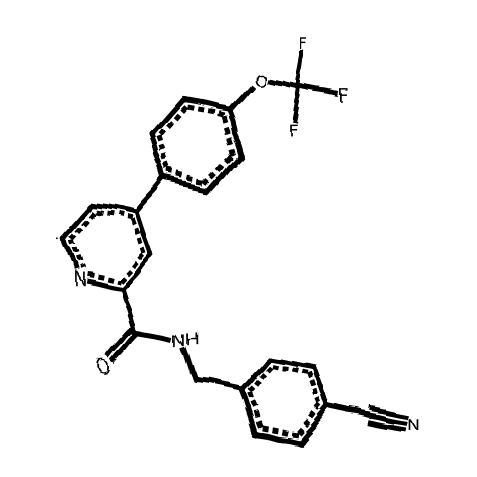 N#Cc1ccc(CNC(=O)c2cc(-c3ccc(OC(F)(F)F)cc3)c[c]n2)cc1